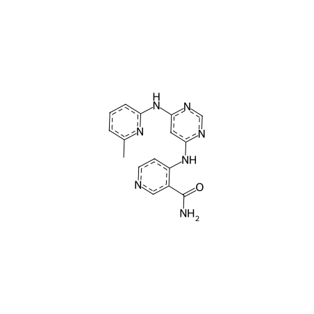 Cc1cccc(Nc2cc(Nc3ccncc3C(N)=O)ncn2)n1